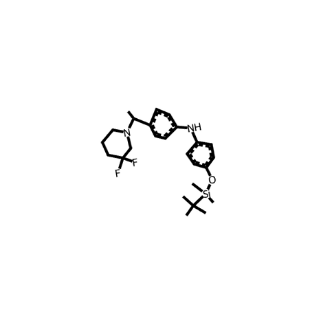 CC(c1ccc(Nc2ccc(O[Si](C)(C)C(C)(C)C)cc2)cc1)N1CCCC(F)(F)C1